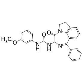 COc1cccc(NC(=O)NC2N=C(c3ccccc3)c3cccc4c3N(CC4)C2=O)c1